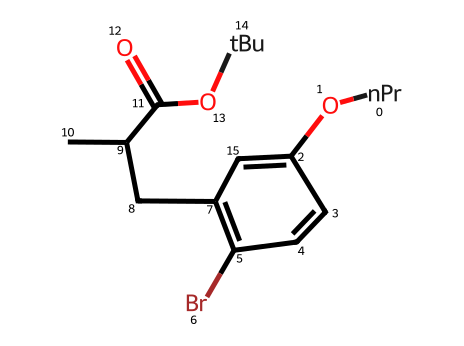 CCCOc1ccc(Br)c(CC(C)C(=O)OC(C)(C)C)c1